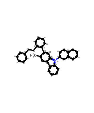 Cc1cc2c3ccccc3n(-c3ccc4ccccc4c3)c2cc1-c1ccccc1CCc1ccccc1